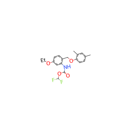 CCOc1ccc(COc2ccc(C)cc2C)c(NC(=O)OC(F)F)c1